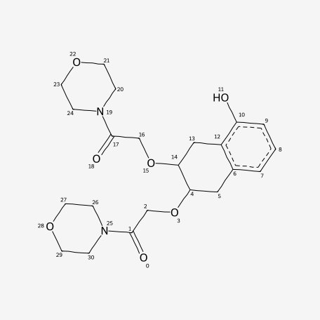 O=C(COC1Cc2cccc(O)c2CC1OCC(=O)N1CCOCC1)N1CCOCC1